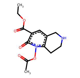 CCOC(=O)c1cc2c(n(OC(C)=O)c1=O)CCNC2